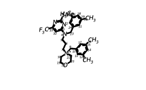 CSc1nc(N(CCC[N+]2(Cc3cc(C)cc(C)c3)CCOCC2)Cc2cc(C)cc(C)c2)cc(C(F)(F)F)n1